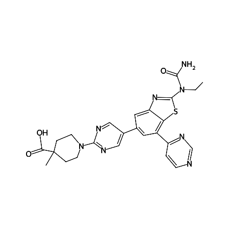 CCN(C(N)=O)c1nc2cc(-c3cnc(N4CCC(C)(C(=O)O)CC4)nc3)cc(-c3ccncn3)c2s1